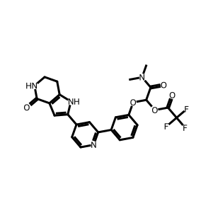 CN(C)C(=O)C(OC(=O)C(F)(F)F)Oc1cccc(-c2cc(-c3cc4c([nH]3)CCNC4=O)ccn2)c1